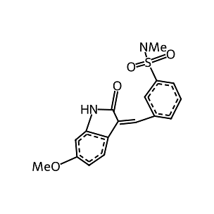 CNS(=O)(=O)c1cccc(C=C2C(=O)Nc3cc(OC)ccc32)c1